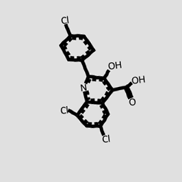 O=C(O)c1c(O)c(-c2ccc(Cl)cc2)nc2c(Cl)cc(Cl)cc12